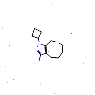 O=C(O)c1nn(C2CCC2)c2c1CCCCCC2